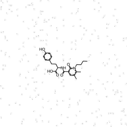 CCCCn1c(C)c(C)cc(C(=O)NC(CCc2ccc(O)cc2)C(=O)O)c1=O